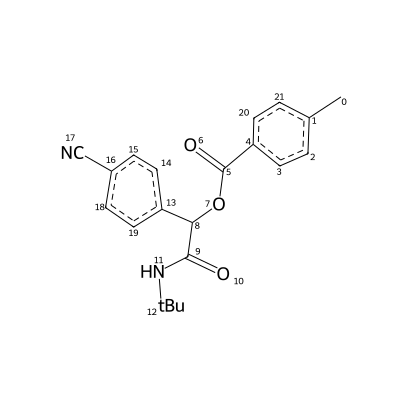 Cc1ccc(C(=O)OC(C(=O)NC(C)(C)C)c2ccc(C#N)cc2)cc1